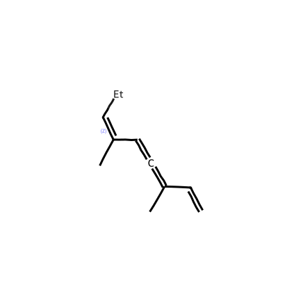 C=CC(C)=C=C/C(C)=C\CC